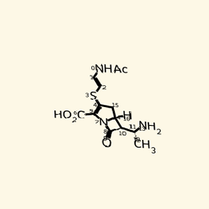 CC(=O)NC=CSC1=C(C(=O)O)N2C(=O)[C@H]([C@@H](C)N)[C@H]2C1